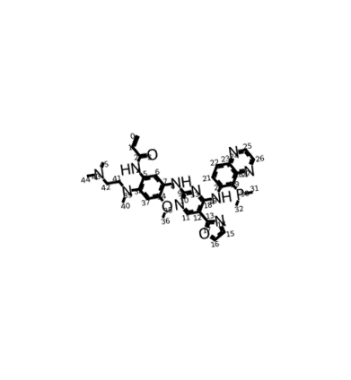 C=CC(=O)Nc1cc(Nc2ncc(-c3ncco3)c(Nc3ccc4nccnc4c3P(C)C)n2)c(OC)cc1N(C)CCN(C)C